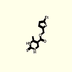 CCc1ccc(COC(=O)C2=C(C)NC(=S)NC2)s1